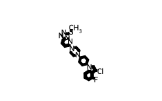 CSc1nnc2ccc(N3CCN([C@H]4CC[C@@H](n5cc(Cl)c6c(F)cccc65)CC4)CC3)nn12